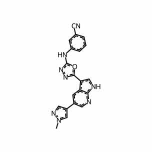 Cn1cc(-c2cnc3[nH]cc(-c4nnc(Nc5cccc(C#N)c5)o4)c3c2)cn1